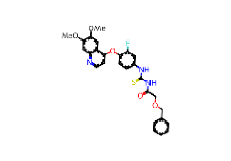 COc1cc2nccc(Oc3ccc(NC(=S)NC(=O)COCc4ccccc4)cc3F)c2cc1OC